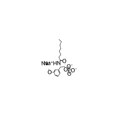 CCCCCCCC(=O)N[C@@H](c1cccc(OC)c1)[C@H](C)OP(=O)([O-])[O-].[Na+].[Na+]